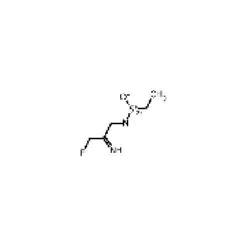 CC[S@+]([O-])NCC(=N)CF